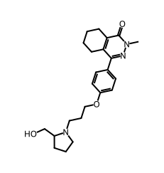 Cn1nc(-c2ccc(OCCCN3CCCC3CO)cc2)c2c(c1=O)CCCC2